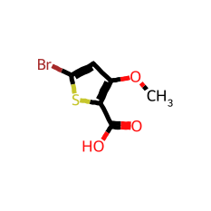 COc1cc(Br)sc1C(=O)O